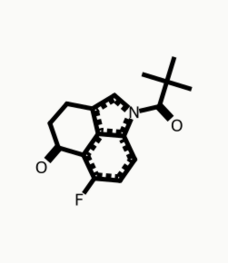 CC(C)(C)C(=O)n1cc2c3c(c(F)ccc31)C(=O)CC2